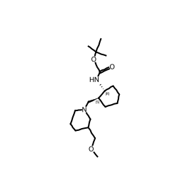 COCC1CCCN(C[C@@H]2CCCC[C@H]2NC(=O)OC(C)(C)C)C1